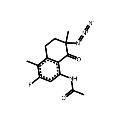 CC(=O)Nc1cc(F)c(C)c2c1C(=O)C(C)(N=[N+]=[N-])CC2